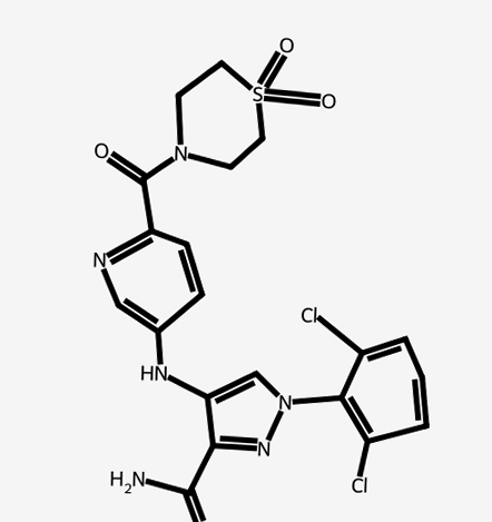 NC(=O)c1nn(-c2c(Cl)cccc2Cl)cc1Nc1ccc(C(=O)N2CCS(=O)(=O)CC2)nc1